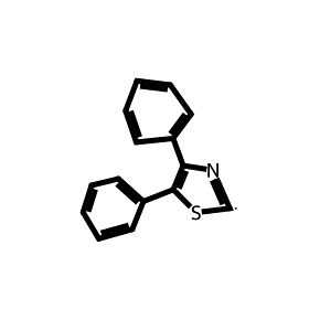 [c]1nc(-c2ccccc2)c(-c2ccccc2)s1